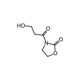 O=C(CCO)N1CCOC1=O